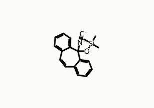 [C-]#[N+]C1(O[Si](C)(C)C)c2ccccc2C=Cc2ccccc21